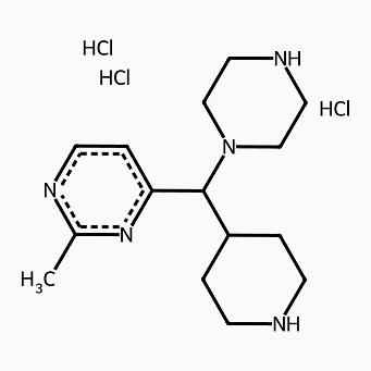 Cc1nccc(C(C2CCNCC2)N2CCNCC2)n1.Cl.Cl.Cl